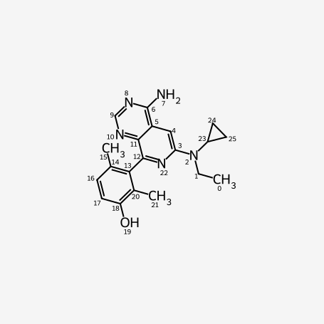 CCN(c1cc2c(N)ncnc2c(-c2c(C)ccc(O)c2C)n1)C1CC1